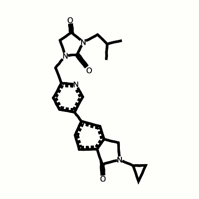 CC(C)CN1C(=O)CN(Cc2ccc(-c3ccc4c(c3)CN(C3CC3)C4=O)cn2)C1=O